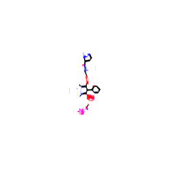 CC1=C(C(=O)OCCNC(=O)c2cccnc2)C(c2ccccc2[N+](=O)[O-])C(C(=O)OCC(C)O[N+](=O)[O-])=C(C)N1